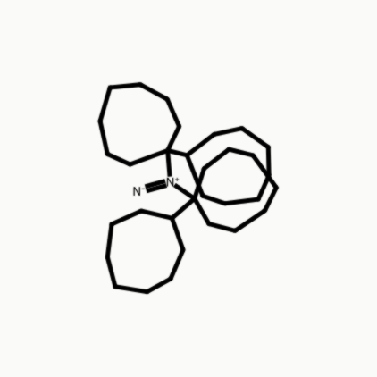 [N-]=[N+](C1(C2CCCCCCC2)CCCCCCC1)C1(C2CCCCCCC2)CCCCCCC1